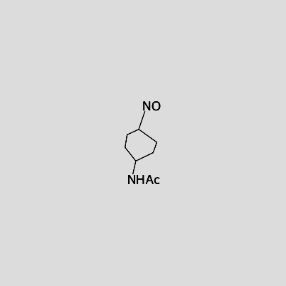 CC(=O)NC1CCC(N=O)CC1